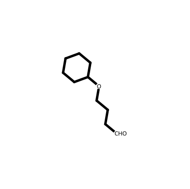 O=CCCCOC1CCCCC1